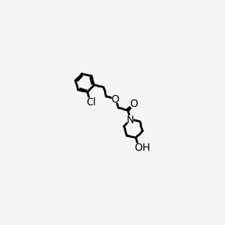 O=C(COCCc1ccccc1Cl)N1CCC(O)CC1